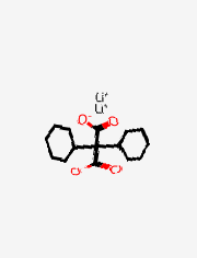 O=C([O-])C(C(=O)[O-])(C1CCCCC1)C1CCCCC1.[Li+].[Li+]